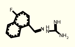 N=C(N)NN=Cc1ccc(F)c2ccccc12